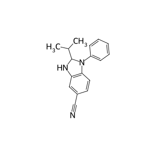 CC(C)C1Nc2cc(C#N)ccc2N1c1ccccc1